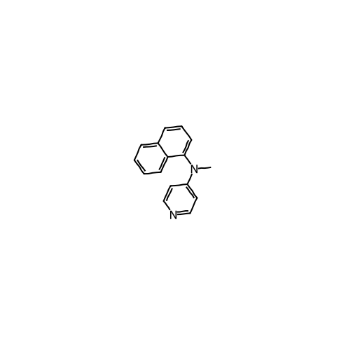 CN(c1ccncc1)c1cccc2ccccc12